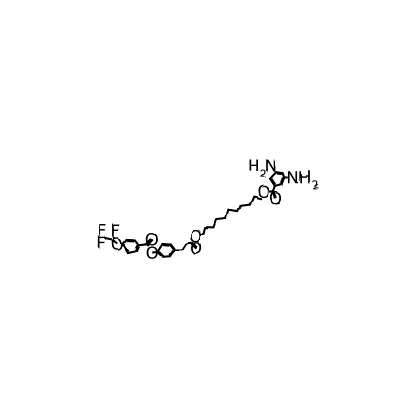 Nc1cc(N)cc(C(=O)OCCCCCCCCCCCOC(=O)C=Cc2ccc(OC(=O)c3ccc(OC(F)C(F)F)cc3)cc2)c1